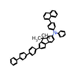 CC1(C)c2cc(-c3ccc(-c4ccc(-c5ccccc5)cc4)cc3)ccc2-c2ccc(N(c3ccccc3)c3ccc(-c4cccc5ccccc45)cc3)cc21